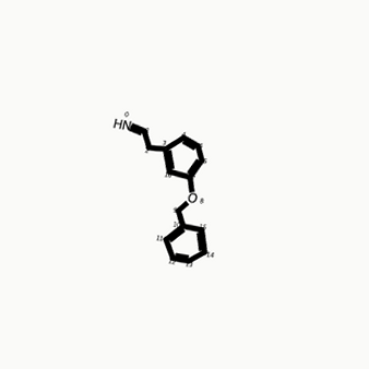 N=CCc1cccc(OCc2ccccc2)c1